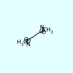 C=C(C#N)C(=O)OCCCCCCCCCCCCOC(=O)C(=C)C#N